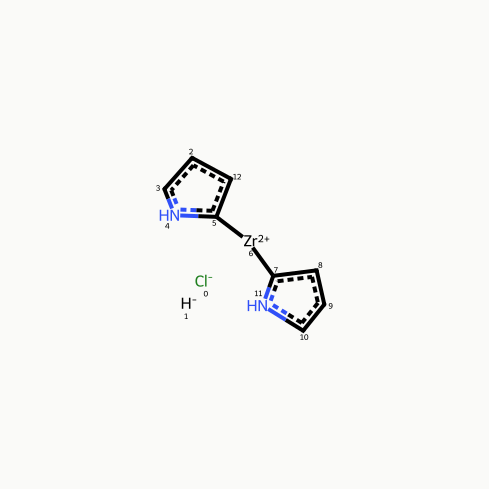 [Cl-].[H-].c1c[nH][c]([Zr+2][c]2ccc[nH]2)c1